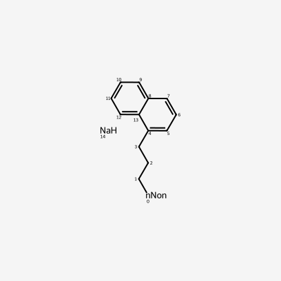 CCCCCCCCCCCCc1cccc2ccccc12.[NaH]